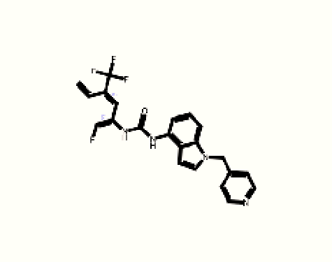 C=C/C(=C\C(=C\F)NC(=O)Nc1cccc2c1ccn2Cc1ccncc1)C(F)(F)F